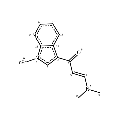 CCCn1cc(C(=O)C=CN(C)C)c2cccnc21